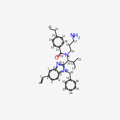 C=Cc1ccc2c(c1)nc(C(C(C)C)N(CCCN)C(=O)c1ccc(CC)cc1)n2Cc1ccccc1